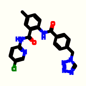 Cc1ccc(NC(=O)c2ccc(Cn3cnnn3)cc2)c(C(=O)Nc2ccc(Cl)cn2)c1